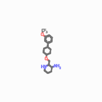 NC1CCCNC1COC1CCC(c2cccc(OC(F)(F)F)c2)CC1